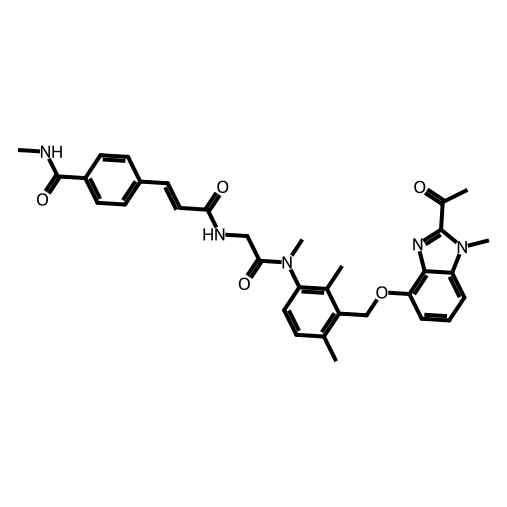 CNC(=O)c1ccc(/C=C/C(=O)NCC(=O)N(C)c2ccc(C)c(COc3cccc4c3nc(C(C)=O)n4C)c2C)cc1